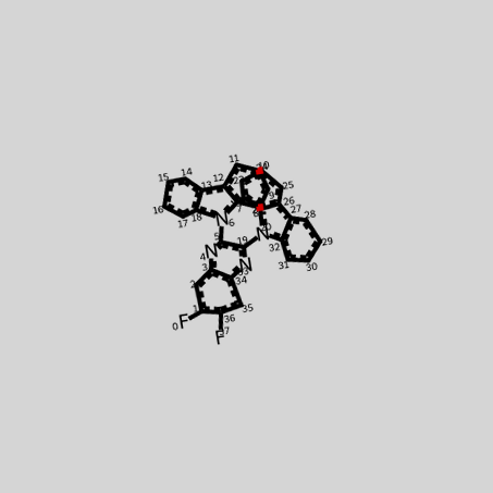 Fc1cc2nc(-n3c4ccccc4c4ccccc43)c(-n3c4ccccc4c4ccccc43)nc2cc1F